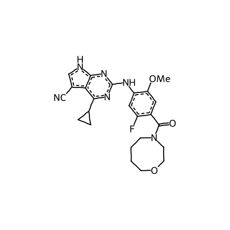 COc1cc(C(=O)N2CCCCOCC2)c(F)cc1Nc1nc(C2CC2)c2c(C#N)c[nH]c2n1